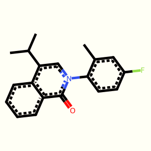 Cc1cc(F)ccc1-n1cc(C(C)C)c2ccccc2c1=O